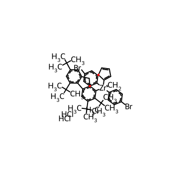 Cl.Cl.[CH2]=[Zr]([C]1=CC=CC1)([c]1ccc(Br)cc1)([c]1ccc(Br)cc1)[c]1c2c(cc(C(C)(C)C)c1C(C)(C)C)-c1c(cc(C(C)(C)C)cc1C(C)(C)C)C2